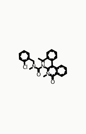 CCc1ccccc1-c1c(NC(=O)N(C)Cc2ccccc2Cl)n(C)c(=O)c2ccccc12